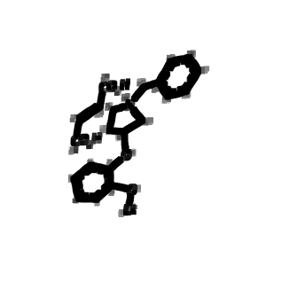 CCOc1ccccc1OC1CCN(Cc2ccccc2)C1.O=C(O)C=CC(=O)O